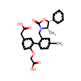 Cc1ccc(-c2cc(CC(=O)O)ccc2OCC(=O)O)c(CN2C(=O)O[C@H](c3ccccc3)[C@@H]2C)c1